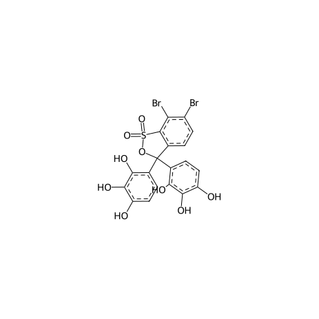 O=S1(=O)OC(c2ccc(O)c(O)c2O)(c2ccc(O)c(O)c2O)c2ccc(Br)c(Br)c21